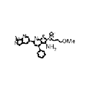 COCCC[S+]([O-])c1sc2nc(-c3cnc4c(cnn4C)c3)cc(-c3ccccc3)c2c1N